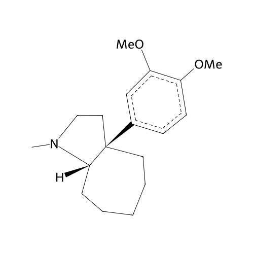 COc1ccc([C@@]23CCCCC[C@@H]2N(C)CC3)cc1OC